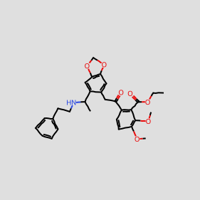 CCOC(=O)c1c(C(=O)Cc2cc3c(cc2C(C)NCCc2ccccc2)OCO3)ccc(OC)c1OC